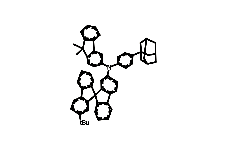 CC(C)(C)c1ccc2c(c1)C1(c3ccccc3-c3ccc(N(c4ccc(C56CC7CC(CC(C7)C5)C6)cc4)c4ccc5c(c4)-c4ccccc4C5(C)C)cc31)c1ccccc1-2